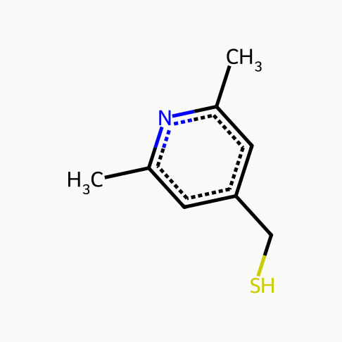 Cc1cc(CS)cc(C)n1